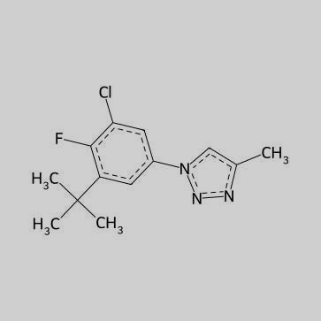 Cc1cn(-c2cc(Cl)c(F)c(C(C)(C)C)c2)nn1